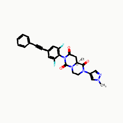 CC[C@@]12CC(=O)N(c3c(F)cc(C#Cc4ccccc4)cc3F)C(=O)N1CCN(c1cnn(C)c1)C2=O